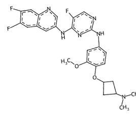 COc1cc(Nc2ncc(F)c(Nc3cnc4cc(F)c(F)cc4c3)n2)ccc1OC1CC(N(C)C)C1